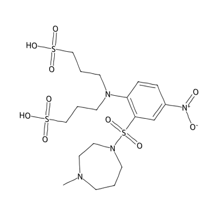 CN1CCCN(S(=O)(=O)c2cc([N+](=O)[O-])ccc2N(CCCS(=O)(=O)O)CCCS(=O)(=O)O)CC1